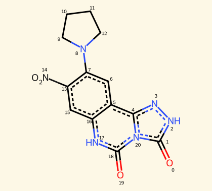 O=c1[nH]nc2c3cc(N4CCCC4)c([N+](=O)[O-])cc3[nH]c(=O)n12